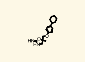 CC1(COc2ccc(C3CCCCC3)cc2)CNC(=N)O1